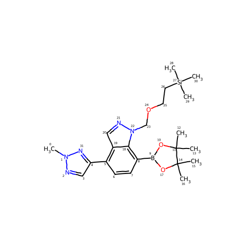 Cn1ncc(-c2ccc(B3OC(C)(C)C(C)(C)O3)c3c2cnn3COCC[Si](C)(C)C)n1